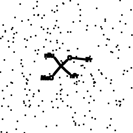 [CH2]CCCC(CCC)(OC)OC(C)C